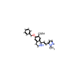 COc1cc2c(cc1OCc1ccccc1)CCNC2C=Cc1ccnn1C